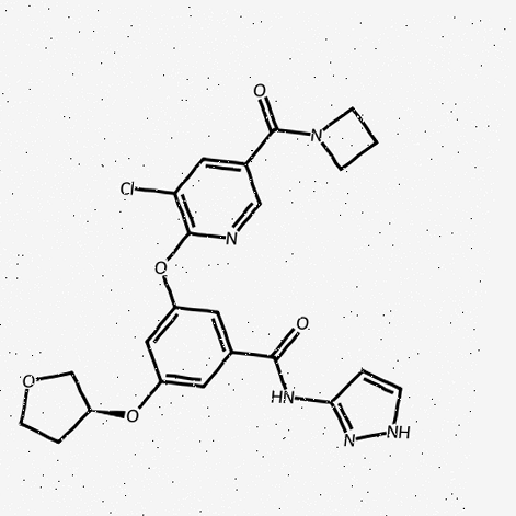 O=C(Nc1cc[nH]n1)c1cc(Oc2ncc(C(=O)N3CCC3)cc2Cl)cc(O[C@H]2CCOC2)c1